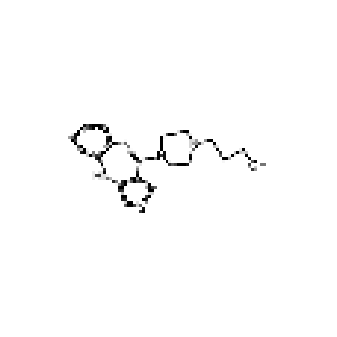 OCCCN1CCN(C2=Nc3ccccc3Nc3cscc32)CC1